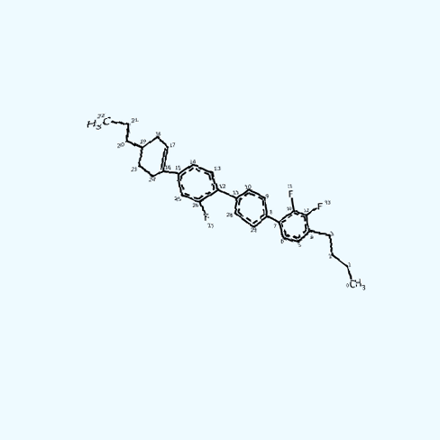 CCCCc1ccc(-c2ccc(-c3ccc(C4=CCC(CCC)CC4)cc3F)cc2)c(F)c1F